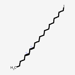 CCCC/C=C/C=C/CCCCCCCCCCCCI